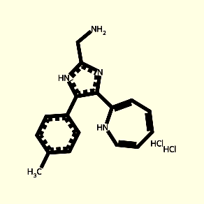 Cc1ccc(-c2[nH]c(CN)nc2C2=CC=CC=CN2)cc1.Cl.Cl